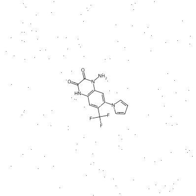 Nn1c(=O)c(=O)[nH]c2cc(C(F)(F)F)c(-n3cccc3)cc21